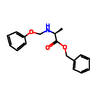 C[C@H](NCOc1ccccc1)C(=O)OCc1ccccc1